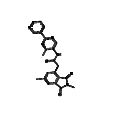 Cc1cc(CC(=O)Nc2cnc(-c3cccnc3)cc2C)c2c(c1)C(=O)N(C)C2=O